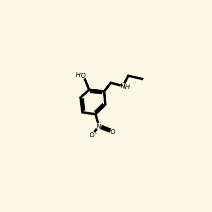 CCNCc1cc([N+](=O)[O-])ccc1O